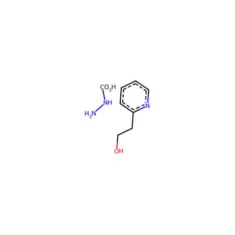 NNC(=O)O.OCCc1ccccn1